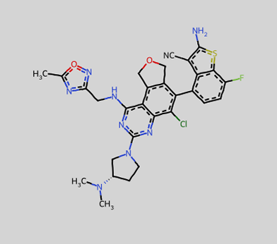 Cc1nc(CNc2nc(N3CC[C@H](N(C)C)C3)nc3c(Cl)c(-c4ccc(F)c5sc(N)c(C#N)c45)c4c(c23)COC4)no1